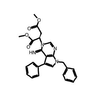 COC(=O)C[C@H](C(=O)OC)n1cnc2c(c(-c3ccccc3)cn2Cc2ccccc2)c1=N